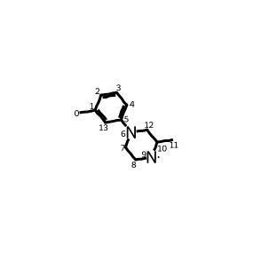 Cc1cccc(N2CC[N]C(C)C2)c1